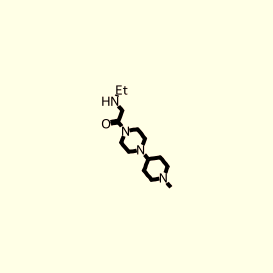 CCNCC(=O)N1CCN(C2CCN(C)CC2)CC1